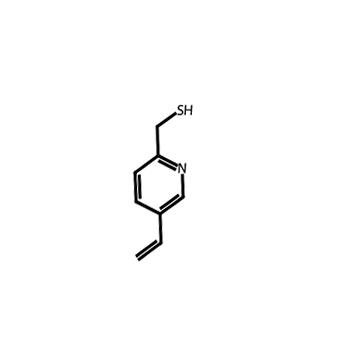 C=Cc1ccc(CS)nc1